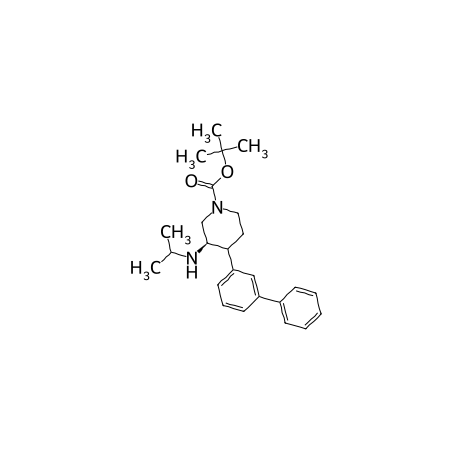 CC(C)N[C@H]1CN(C(=O)OC(C)(C)C)CCC1c1cccc(-c2ccccc2)c1